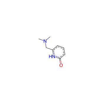 CN(C)Cc1cccc(=O)[nH]1